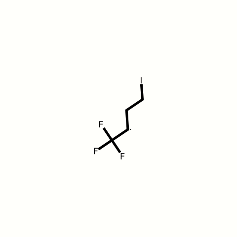 FC(F)(F)[CH]CCI